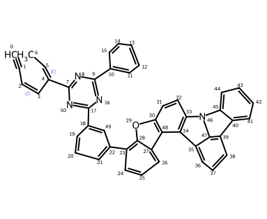 C#C/C=C\C(=C/C)c1nc(-c2ccccc2)nc(-c2cccc(-c3cccc4c3oc3ccc5c(c6cccc7c8ccccc8n5c76)c34)c2)n1